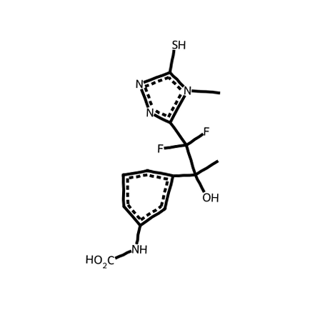 Cn1c(S)nnc1C(F)(F)C(C)(O)c1cccc(NC(=O)O)c1